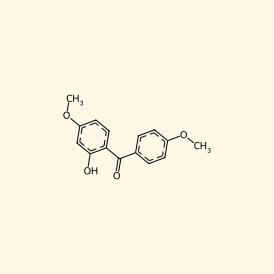 COc1ccc(C(=O)c2ccc(OC)cc2O)cc1